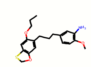 CCCOc1cc2c(cc1CCCc1ccc(OC)c(N)c1)OCS2